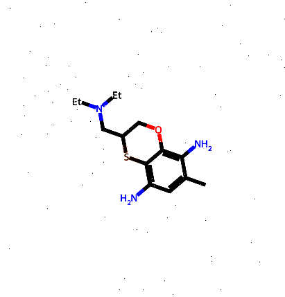 CCN(CC)CC1COc2c(N)c(C)cc(N)c2S1